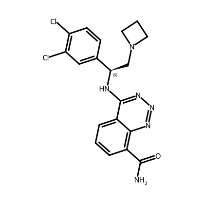 NC(=O)c1cccc2c(N[C@H](CN3CCC3)c3ccc(Cl)c(Cl)c3)nnnc12